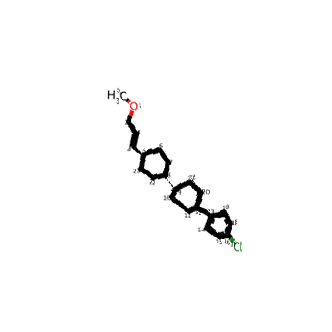 COC/C=C/[C@H]1CC[C@H](C2CCC(c3ccc(Cl)cc3)CC2)CC1